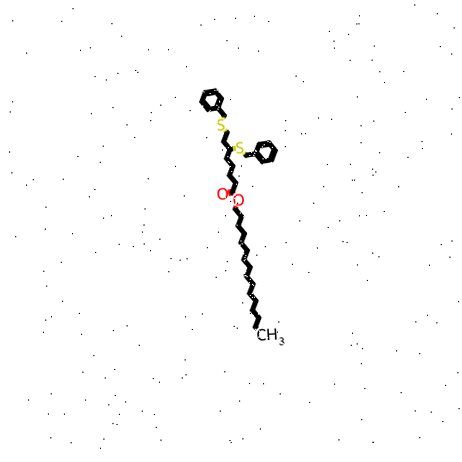 CCCCCCCCCCCCCCCCOC(=O)CCCCC(CCSCc1ccccc1)SCc1ccccc1